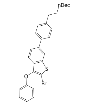 CCCCCCCCCCCCc1ccc(-c2ccc3c(Oc4ccccc4)c(Br)sc3c2)cc1